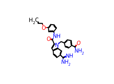 C=CCOc1cccc(NC(=O)c2cc3ccc(C(=N)N)cc3n2Cc2ccc(C(N)=O)cc2)c1